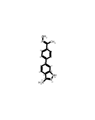 C/C(=N\N)c1ccc(-c2ccc3c(N)n[nH]c3c2)cc1